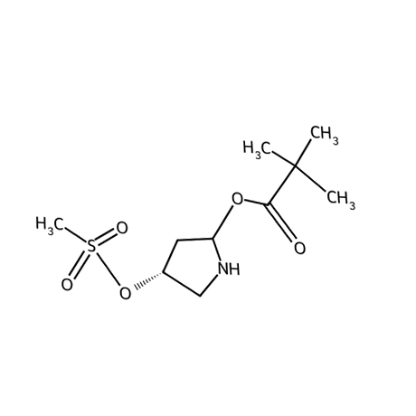 CC(C)(C)C(=O)OC1C[C@@H](OS(C)(=O)=O)CN1